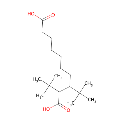 CC(C)(C)C(CCCCCCC(=O)O)C(C(=O)O)C(C)(C)C